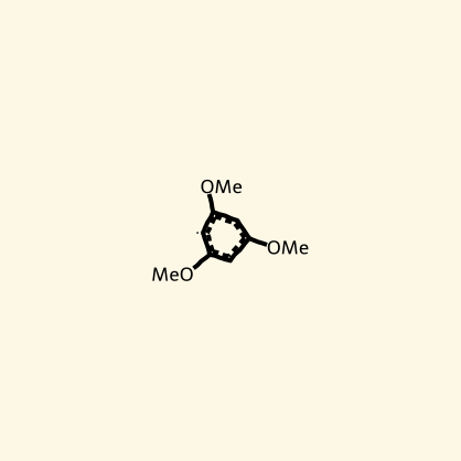 COc1[c]c(OC)cc(OC)c1